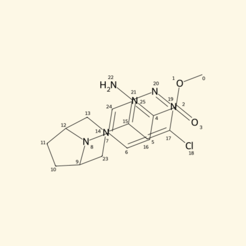 COC(=O)c1ccc(N2C3CCC2CN(c2cc(Cl)nnc2N)C3)cn1